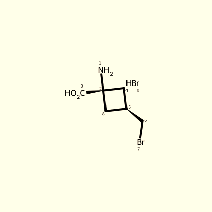 Br.N[C@]1(C(=O)O)C[C@@H](CBr)C1